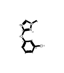 Cn1cnc(Oc2cccc(Cl)c2)n1